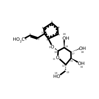 O=C(O)/C=C/c1ccccc1O[C@H]1O[C@@H](CO)[C@H](O)[C@@H](O)[C@@H]1O